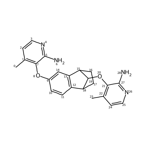 Cc1ccnc(N)c1Oc1ccc2c(c1)C1CCC2C1Oc1c(C)ccnc1N